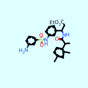 CCOC(=O)CC(NC(=O)C(C)c1ccc(C)cc1C)c1cccc(NS(=O)(=O)c2cccc(N)c2)c1